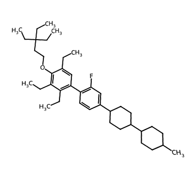 CCc1cc(-c2ccc(C3CCC(C4CCC(C)CC4)CC3)cc2F)c(CC)c(CC)c1OCCC(CC)(CC)CC